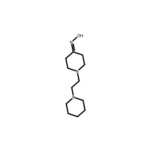 ON=C1CCN(CCN2CCCCC2)CC1